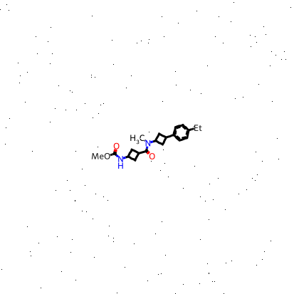 CCc1ccc(C2CC(N(C)C(=O)C3CC(NC(=O)OC)C3)C2)cc1